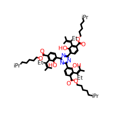 CCC(=C(C)C)c1c(C(=O)OCCCCCC(C)C)ccc(-c2nc(-c3ccc(C(=O)OCCCCCC(C)C)c(C(CC)=C(C)C)c3O)nc(-c3ccc(C(=O)OCCCCCC(C)C)c(C(CC)=C(C)C)c3O)n2)c1O